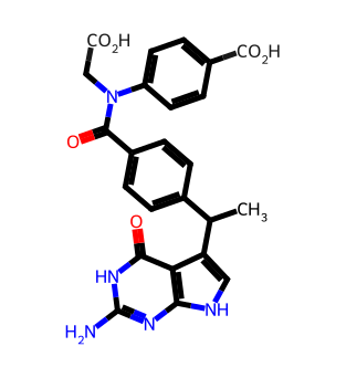 CC(c1ccc(C(=O)N(CC(=O)O)c2ccc(C(=O)O)cc2)cc1)c1c[nH]c2nc(N)[nH]c(=O)c12